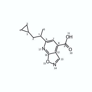 CC(CC1CC1)c1cc(C(=O)O)c2cnoc2n1